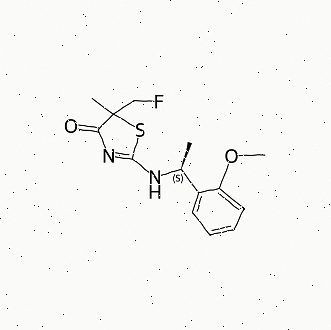 COc1ccccc1[C@H](C)NC1=NC(=O)C(C)(CF)S1